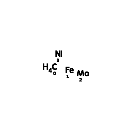 C.[Fe].[Mo].[Ni]